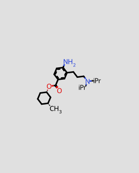 CC(C)N(CCCc1cc(C(=O)O[C@H]2CCC[C@@H](C)C2)ccc1N)C(C)C